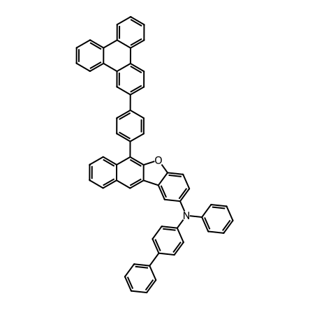 c1ccc(-c2ccc(N(c3ccccc3)c3ccc4oc5c(-c6ccc(-c7ccc8c9ccccc9c9ccccc9c8c7)cc6)c6ccccc6cc5c4c3)cc2)cc1